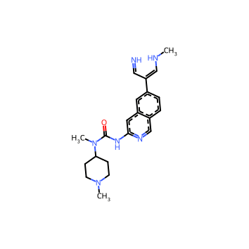 CN/C=C(\C=N)c1ccc2cnc(NC(=O)N(C)C3CCN(C)CC3)cc2c1